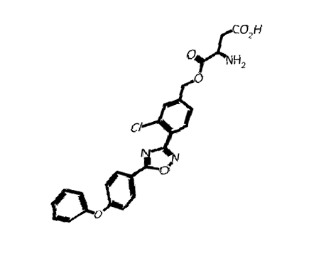 NC(CC(=O)O)C(=O)OCc1ccc(-c2noc(-c3ccc(Oc4ccccc4)cc3)n2)c(Cl)c1